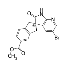 COC(=O)c1ccc2c(c1)C[C@@]1(C2)C(=O)Nc2ncc(Br)cc21